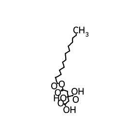 CCCCCCCCCCCCCC(=O)OC(=O)CC(O)(CC(=O)O)C(=O)O